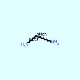 CCCCCCCCCC(CCCCCCCN)C(CCCCCCCC)CCCCCCCCN